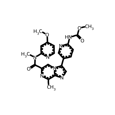 COC(=O)Nc1ccc(-c2cnc3c(C)nc(C(=O)N(C)c4cc(OC)ccn4)cn23)cn1